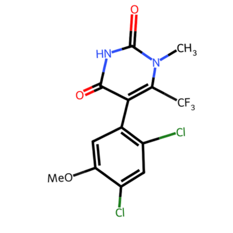 COc1cc(-c2c(C(F)(F)F)n(C)c(=O)[nH]c2=O)c(Cl)cc1Cl